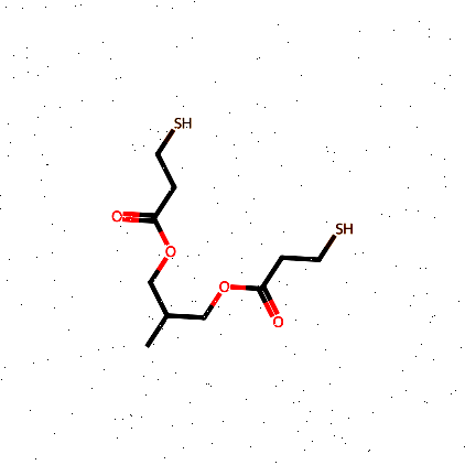 CC(COC(=O)CCS)COC(=O)CCS